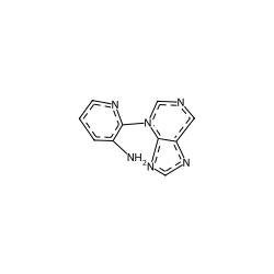 Nc1cccnc1-n1cncc2ncnc1-2